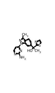 Cc1nn(-c2ccnc(N)n2)c2cc([C@@](C)(O)c3nccs3)ccc12